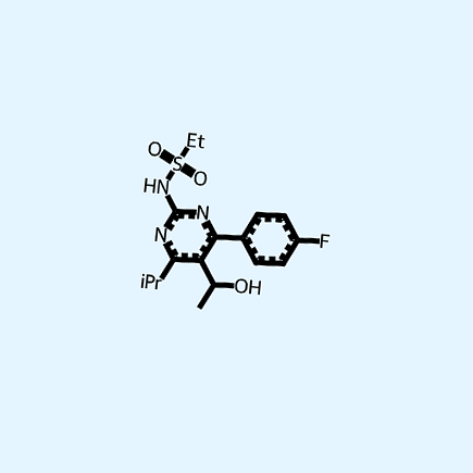 CCS(=O)(=O)Nc1nc(-c2ccc(F)cc2)c(C(C)O)c(C(C)C)n1